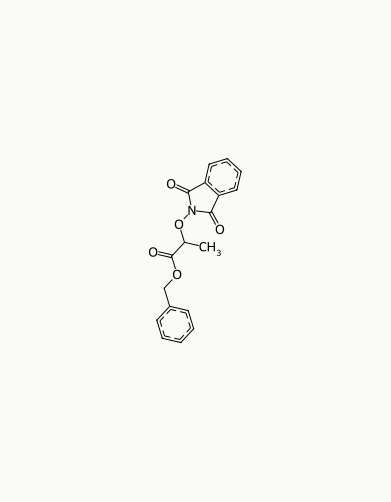 CC(ON1C(=O)c2ccccc2C1=O)C(=O)OCc1ccccc1